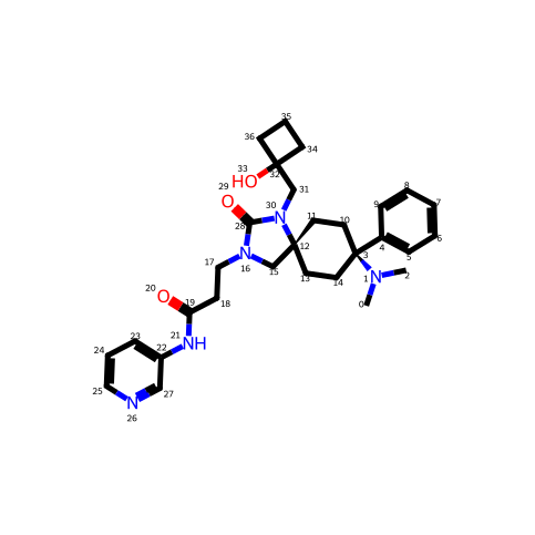 CN(C)[C@]1(c2ccccc2)CC[C@@]2(CC1)CN(CCC(=O)Nc1cccnc1)C(=O)N2CC1(O)CCC1